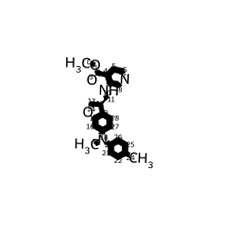 COC(=O)c1ccncc1NC[C@@H]1COc2cc(N(C)c3ccc(C)cc3)ccc21